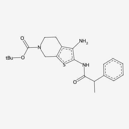 CC(C(=O)Nc1sc2c(c1N)CCN(C(=O)OC(C)(C)C)C2)c1ccccc1